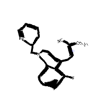 N#C/C(=C\c1cn(Cc2ccccn2)c2cccc(F)c12)C(=O)O